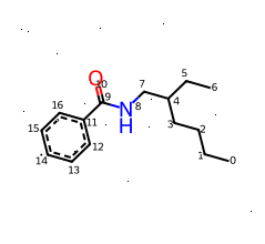 CCCCC(CC)CNC(=O)c1cc[c]cc1